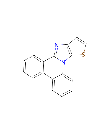 c1ccc2c(c1)c1ccccc1n1c2nc2ccsc21